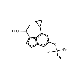 CC(C(=O)O)c1csc2cc(O[Si](C(C)C)(C(C)C)C(C)C)cc(C3CC3)c12